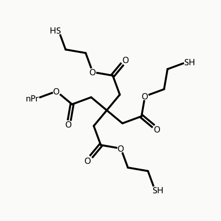 CCCOC(=O)CC(CC(=O)OCCS)(CC(=O)OCCS)CC(=O)OCCS